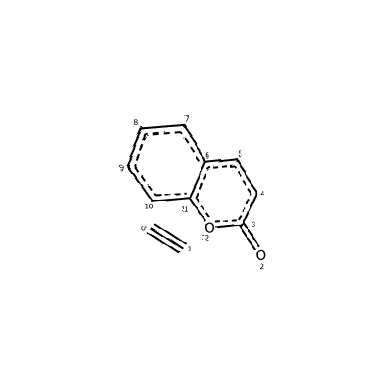 C#C.O=c1ccc2ccccc2o1